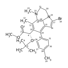 COC(=O)[C@@H](OC(C)(C)C)c1c(C)c2c3c(cc(Br)n3CCN2C)c1-c1ccc(C)cc1